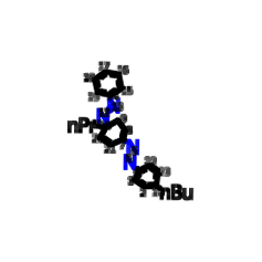 CCCCc1ccc(N=NC2=CCC(CCC)(N=Nc3ccccc3)C=C2)cc1